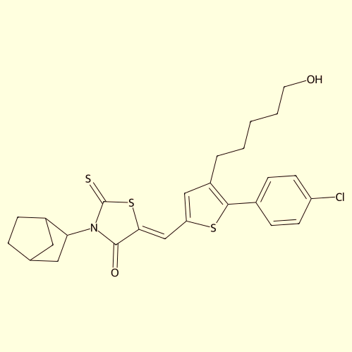 O=C1/C(=C/c2cc(CCCCCO)c(-c3ccc(Cl)cc3)s2)SC(=S)N1C1CC2CCC1C2